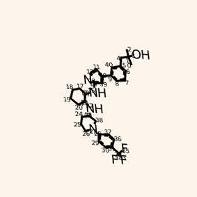 CC(C)(O)Cc1cccc(-c2ccnc(N[C@@H]3CCCC[C@H]3N[C@H]3CCCN(c4ccc(C(F)(F)F)cc4)C3)c2)c1